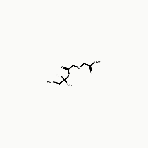 COC(=O)COCC(=O)OC(CS(=O)(=O)O)(C(F)(F)F)C(F)(F)F